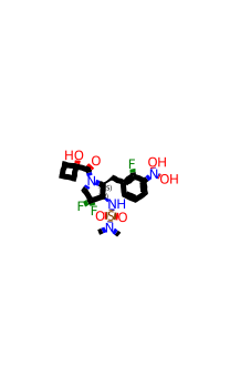 CN(C)S(=O)(=O)N[C@@H]1[C@H](Cc2cccc(N(O)O)c2F)N(C(=O)C2(O)CCC2)CC1(F)F